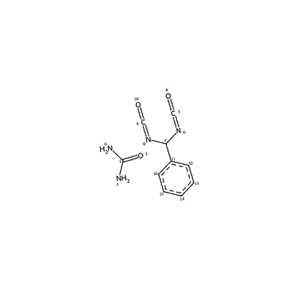 NC(N)=O.O=C=NC(N=C=O)c1ccccc1